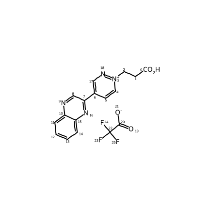 O=C(O)CC[n+]1ccc(-c2cnc3ccccc3n2)cn1.O=C([O-])C(F)(F)F